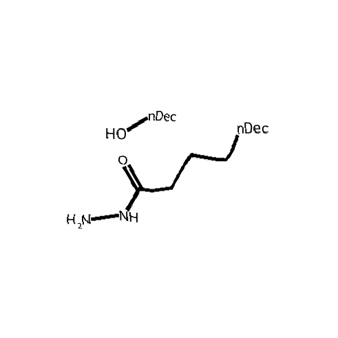 CCCCCCCCCCCCCC(=O)NN.CCCCCCCCCCO